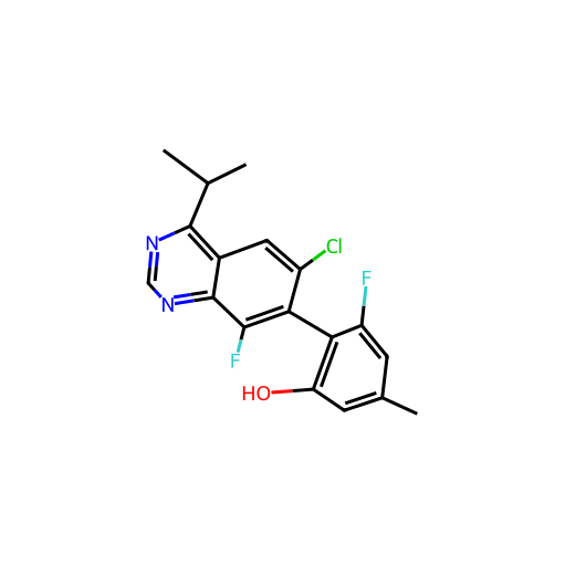 Cc1cc(O)c(-c2c(Cl)cc3c(C(C)C)ncnc3c2F)c(F)c1